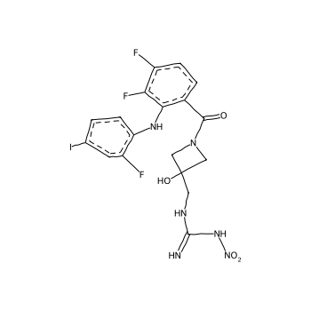 N=C(NCC1(O)CN(C(=O)c2ccc(F)c(F)c2Nc2ccc(I)cc2F)C1)N[N+](=O)[O-]